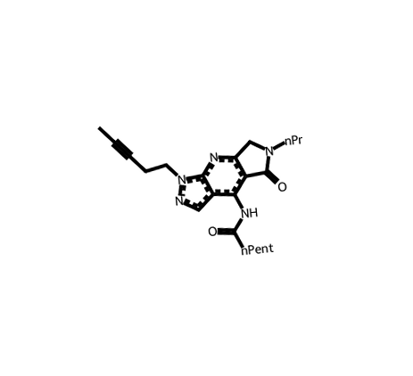 CC#CCCn1ncc2c(NC(=O)CCCCC)c3c(nc21)CN(CCC)C3=O